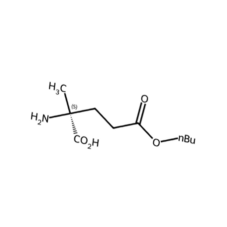 CCCCOC(=O)CC[C@](C)(N)C(=O)O